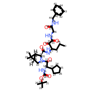 CCCC(NC(=O)[C@@H]1[C@@H]2[C@H](CN1C(=O)[C@@H](NC(=O)OC(C)(C)C)C1CCCC1)C2(C)C)C(=O)C(=O)NCC(=O)NCc1ccccc1